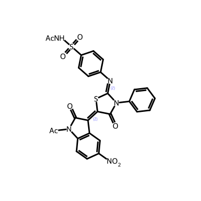 CC(=O)NS(=O)(=O)c1ccc(/N=C2\S/C(=C3\C(=O)N(C(C)=O)c4ccc([N+](=O)[O-])cc43)C(=O)N2c2ccccc2)cc1